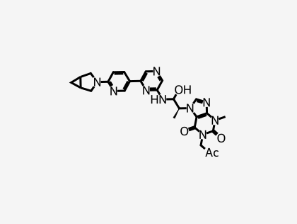 CC(=O)Cn1c(=O)c2c(ncn2[C@@H](C)C(O)Nc2cncc(-c3ccc(N4CC5CC5C4)nc3)n2)n(C)c1=O